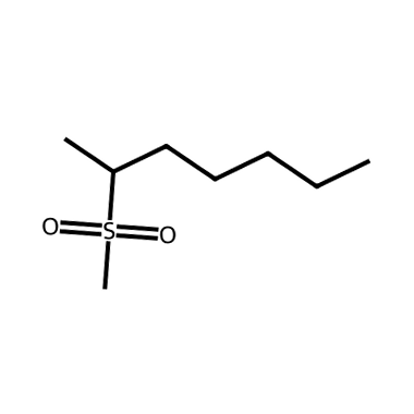 CCCCCC(C)S(C)(=O)=O